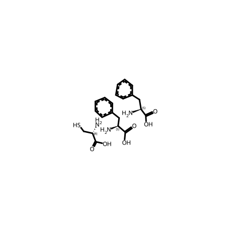 N[C@@H](CS)C(=O)O.N[C@@H](Cc1ccccc1)C(=O)O.N[C@@H](Cc1ccccc1)C(=O)O